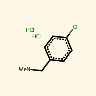 CNCc1ccc(Cl)cc1.Cl.Cl